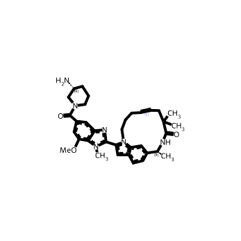 COc1cc(C(=O)N2CCC[C@@H](N)C2)cc2nc(-c3cc4ccc5cc4n3CCC/C=C/CC(C)(C)C(=O)N[C@@H]5C)n(C)c12